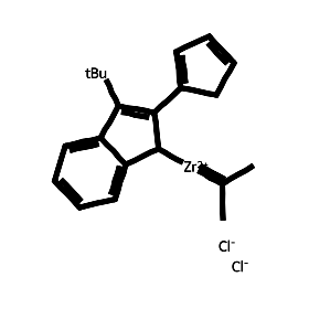 C[C](C)=[Zr+2][CH]1C(C2=CC=CC2)=C(C(C)(C)C)c2ccccc21.[Cl-].[Cl-]